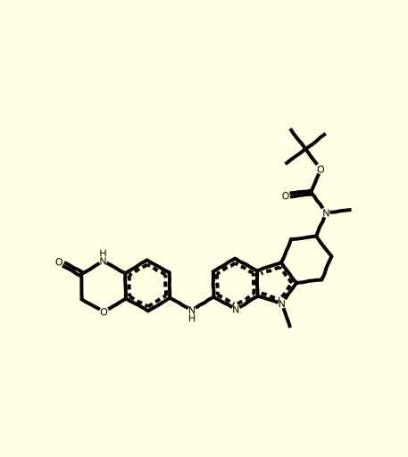 CN(C(=O)OC(C)(C)C)C1CCc2c(c3ccc(Nc4ccc5c(c4)OCC(=O)N5)nc3n2C)C1